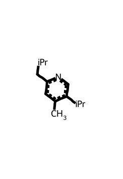 Cc1cc(CC(C)C)ncc1C(C)C